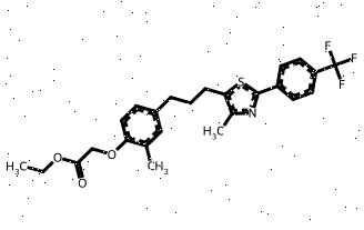 CCOC(=O)COc1ccc(CCCc2sc(-c3ccc(C(F)(F)F)cc3)nc2C)cc1C